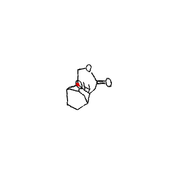 O=C1OCC2C3CCC(CC3O)C12